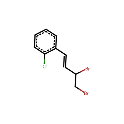 Clc1ccccc1C=CC(Br)CBr